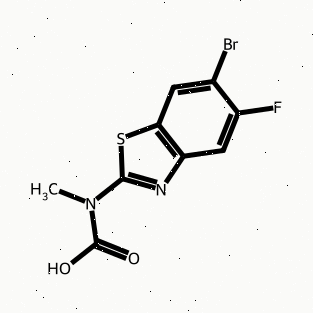 CN(C(=O)O)c1nc2cc(F)c(Br)cc2s1